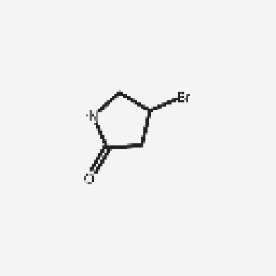 O=C1CC(Br)C[N]1